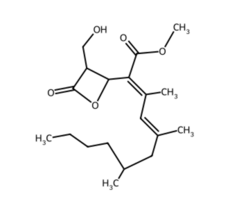 CCCCC(C)C/C(C)=C/C(C)=C(/C(=O)OC)C1OC(=O)C1CO